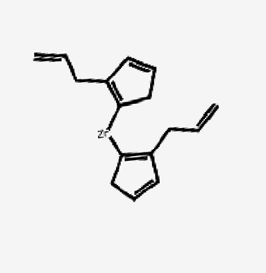 C=CCC1=[C]([Zr][C]2=C(CC=C)C=CC2)CC=C1